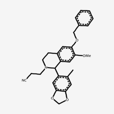 COc1cc2c(cc1OCc1ccccc1)CCN(CCC#N)C2c1cc2c(cc1C)OCO2